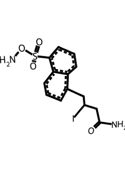 NOS(=O)(=O)c1cccc2c(CC(I)CC(N)=O)cccc12